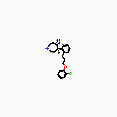 Clc1ccccc1OCCCc1cccc2c1[C@@H]1CCNCC[C@@H]1N2